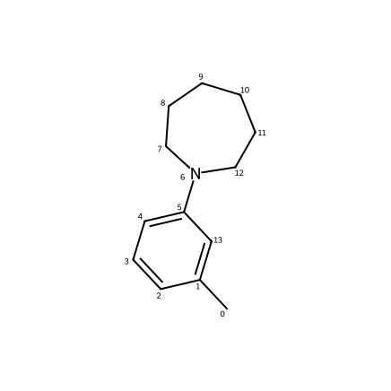 Cc1cccc(N2CCCCCC2)c1